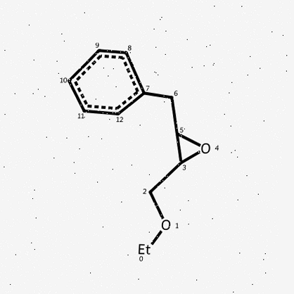 CCOCC1OC1Cc1ccccc1